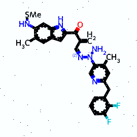 C=C(/C=N\N(N)c1cnc(Cc2cccc(F)c2F)cc1C)C(=O)c1cc2cc(C)c(NSC)cc2[nH]1